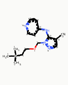 C[Si](C)(C)CCOCn1ncc(C#N)c1Nc1ccncc1